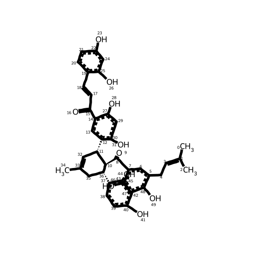 CC(C)=CCc1cc(C(=O)[C@@H]2[C@@H](c3cc(C(=O)/C=C/c4ccc(O)cc4O)c(O)cc3O)C=C(C)C[C@H]2c2ccc(O)cc2O)c(O)cc1O